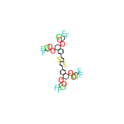 O=C(CC(F)(F)Cl)OC1CCC(OC(=O)CC(F)(F)Cl)c2cc(-c3cc4sc(-c5ccc6c(c5)C(OC(=O)CC(F)(F)Cl)CCC6OC(=O)CC(F)(F)Cl)cc4s3)ccc21